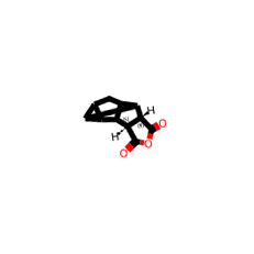 O=C1OC(=O)[C@H]2C3C4CC5C(C53)C4[C@@H]12